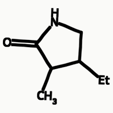 CCC1CNC(=O)C1C